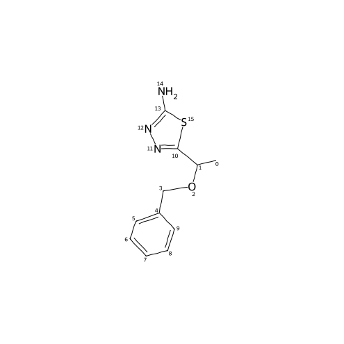 CC(OCc1ccccc1)c1nnc(N)s1